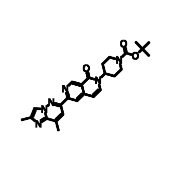 Cc1cn2nc(-c3cc4ccn(C5CCN(C(=O)OC(C)(C)C)CC5)c(=O)c4cn3)cc(C)c2n1